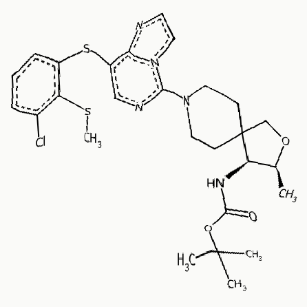 CSc1c(Cl)cccc1Sc1cnc(N2CCC3(CC2)CO[C@@H](C)[C@H]3NC(=O)OC(C)(C)C)n2ccnc12